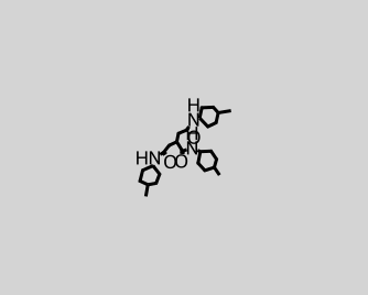 CC1CCC(NC(=O)CC(CC(=O)NC2CCC(C)CC2)C(=O)NC2CCC(C)CC2)CC1